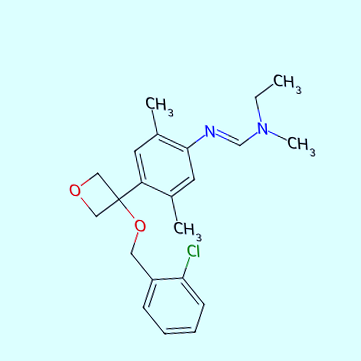 CCN(C)C=Nc1cc(C)c(C2(OCc3ccccc3Cl)COC2)cc1C